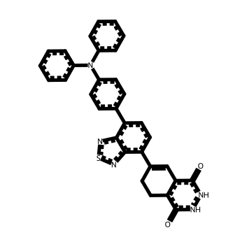 O=c1[nH][nH]c(=O)c2c1C=C(c1ccc(-c3ccc(N(c4ccccc4)c4ccccc4)cc3)c3nsnc13)CC2